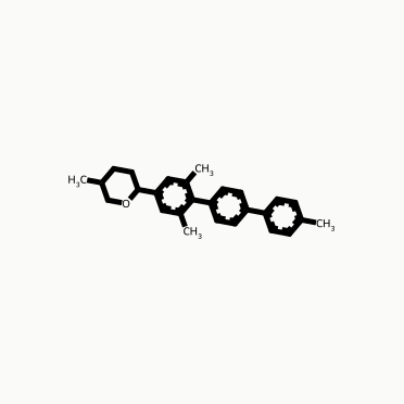 Cc1ccc(-c2ccc(-c3c(C)cc(C4CCC(C)CO4)cc3C)cc2)cc1